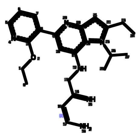 CCOc1ncccc1-c1cc(NCC(=N)/C=C\N)c2c(cc(CC)n2C(C)C)n1